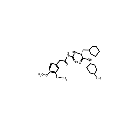 COc1ccc(CC(=O)NC(=N)N[C@H](CC2CCCCC2)C(=O)N[C@H]2CC[C@H](O)CC2)cc1OC